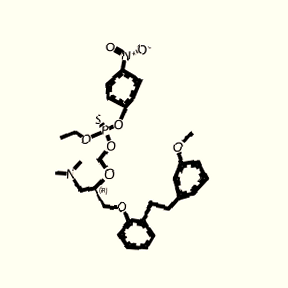 CCOP(=S)(OCO[C@@H](COc1ccccc1CCc1cccc(OC)c1)CN(C)C)Oc1ccc([N+](=O)[O-])cc1